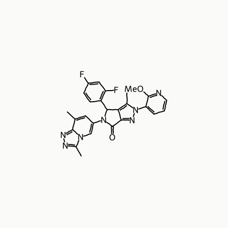 COc1ncccc1-n1nc2c(c1C)C(c1ccc(F)cc1F)N(c1cc(C)c3nnc(C)n3c1)C2=O